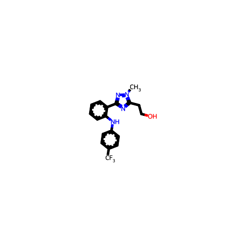 Cn1nc(-c2ccccc2Nc2ccc(C(F)(F)F)cc2)nc1CCO